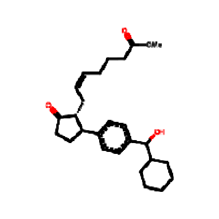 COC(=O)CCC/C=C\C[C@H]1C(=O)CCC1c1ccc(C(O)C2CCCCC2)cc1